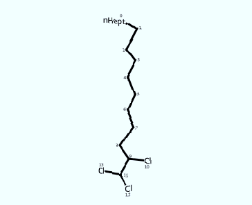 CCCCCCCCCCCCCCCC(Cl)C(Cl)Cl